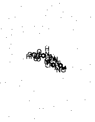 Cc1ccc(-c2c(C)noc2C)cc1N(CC1CN(C2CC(Nc3cc4c(cc3F)C(=O)N([C@H]3CCC(=O)NC3=O)C4=O)C2)C1)c1ccc(C2(C#N)CC2)cc1